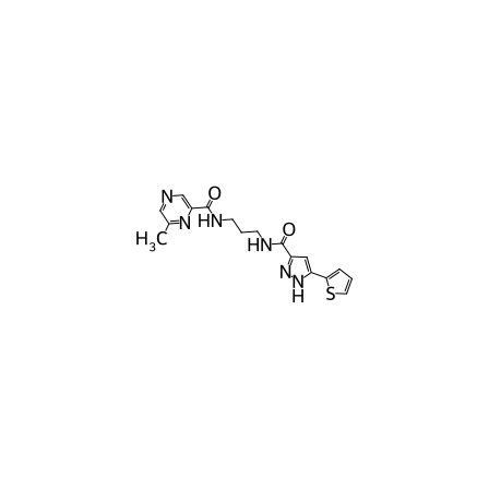 Cc1cncc(C(=O)NCCCNC(=O)c2cc(-c3cccs3)[nH]n2)n1